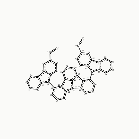 O=Nc1ccc2c(c1)c1ccccc1n2-c1cccc2c1c1cccc3c4c(-n5c6ccccc6c6cc(N=O)ccc65)cccc4n2c13